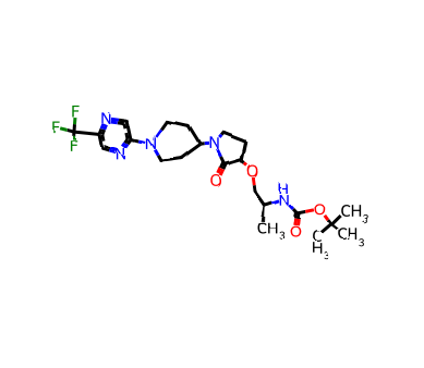 C[C@@H](COC1CCN(C2CCN(c3cnc(C(F)(F)F)cn3)CC2)C1=O)NC(=O)OC(C)(C)C